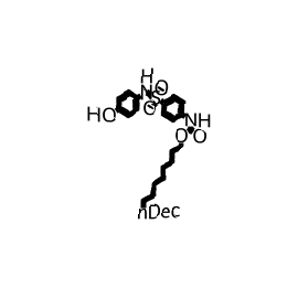 CCCCCCCCCCCCCCCCCCOC(=O)Nc1ccc(S(=O)(=O)Nc2ccc(O)cc2)cc1